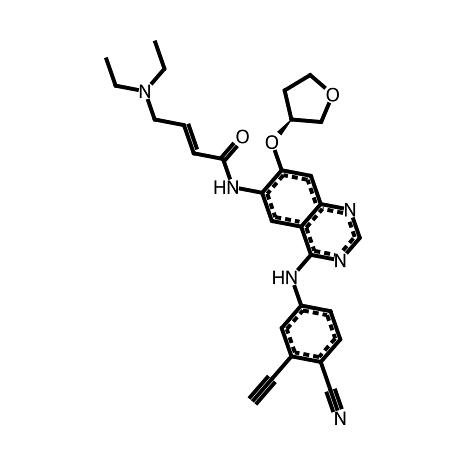 C#Cc1cc(Nc2ncnc3cc(O[C@H]4CCOC4)c(NC(=O)/C=C/CN(CC)CC)cc23)ccc1C#N